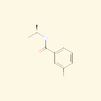 C[C@H](NC(=O)c1cccc(Cl)c1)C(=O)O